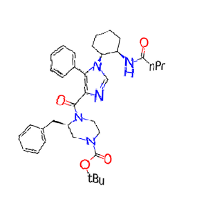 CCCC(=O)N[C@@H]1CCCC[C@@H]1n1cnc(C(=O)N2CCN(C(=O)OC(C)(C)C)C[C@H]2Cc2ccccc2)c1-c1ccccc1